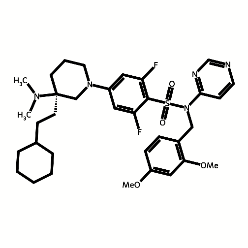 COc1ccc(CN(c2ccncn2)S(=O)(=O)c2c(F)cc(N3CCC[C@](CCC4CCCCC4)(N(C)C)C3)cc2F)c(OC)c1